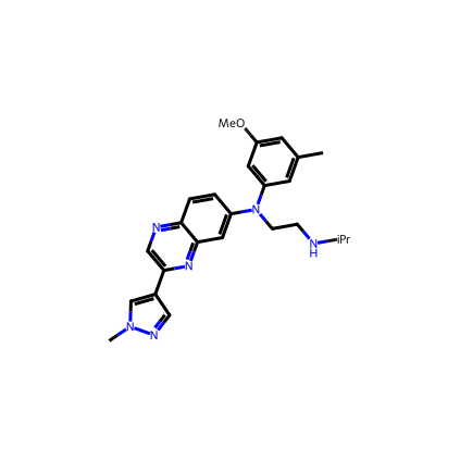 COc1cc(C)cc(N(CCNC(C)C)c2ccc3ncc(-c4cnn(C)c4)nc3c2)c1